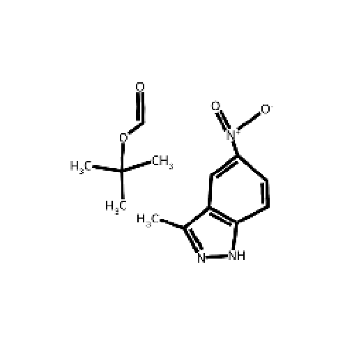 CC(C)(C)OC=O.Cc1n[nH]c2ccc([N+](=O)[O-])cc12